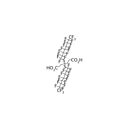 O=C(O)CCC(CCC(=O)O)(SC(F)(F)C(F)(F)C(F)(F)C(F)(F)C(F)(F)C(F)(F)C(F)(F)C(F)(F)F)SC(F)(F)C(F)(F)C(F)(F)C(F)(F)C(F)(F)C(F)(F)C(F)(F)C(F)(F)F